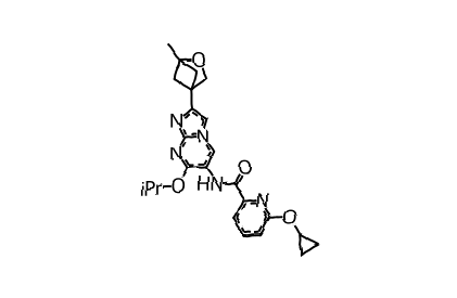 CC(C)Oc1nc2nc(C34COC(C)(C3)C4)cn2cc1NC(=O)c1cccc(OC2CC2)n1